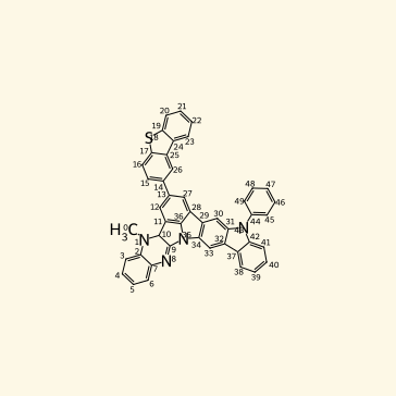 CN1c2ccccc2N=C2C1c1cc(-c3ccc4sc5ccccc5c4c3)cc3c4cc5c(cc4n2c13)c1ccccc1n5-c1ccccc1